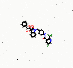 O=C(NC1CCC(CN2C(=O)C(O)(C(O)Cc3ccccc3)c3ccccc32)CC1)c1cc(Cl)cnc1C(F)F